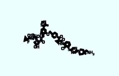 Cc1ncsc1-c1ccc(CNC(=O)[C@@H]2C[C@@H](O)CN2C(=O)[C@@H](NC(=O)C2(F)CC2)C(C)(C)C)c(OCC2CCN(C(=O)C3(C(=O)Nc4cccc(Sc5cnc(N6CCC(C)(CN)CC6)cn5)c4Cl)CC3)CC2)c1